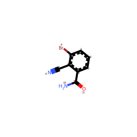 N#Cc1c(Br)cccc1C(N)=O